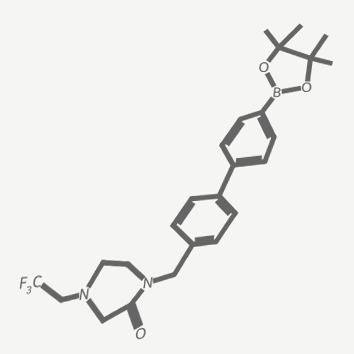 CC1(C)OB(c2ccc(-c3ccc(CN4CCN(CC(F)(F)F)CC4=O)cc3)cc2)OC1(C)C